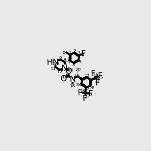 Cc1cc(F)ccc1[C@H]1CNCCN1OC(=O)N(C)[C@H](C)c1cc(C(F)(F)F)cc(C(F)(F)F)c1